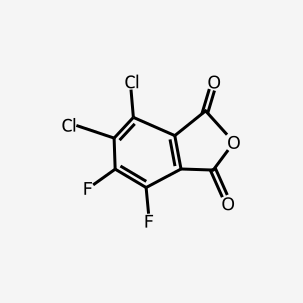 O=C1OC(=O)c2c(Cl)c(Cl)c(F)c(F)c21